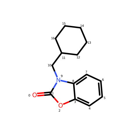 O=c1oc2ccccc2n1CC1CCCCC1